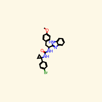 COc1ccc(CC(NC(=O)NC2(c3ccc(Br)cc3)CC2)c2nc3ccccc3[nH]2)cc1